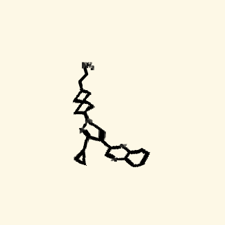 NCCC1CC2(C1)CC(n1cc(-c3cnc4ccccc4n3)c(C3CC3)n1)C2